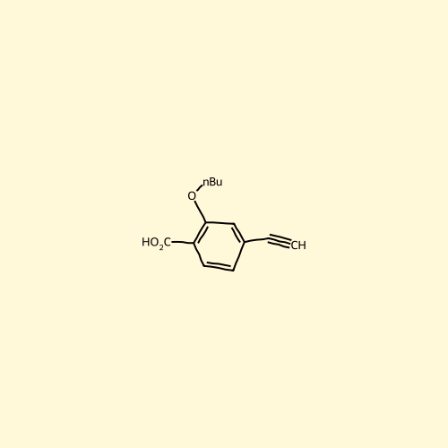 C#Cc1ccc(C(=O)O)c(OCCCC)c1